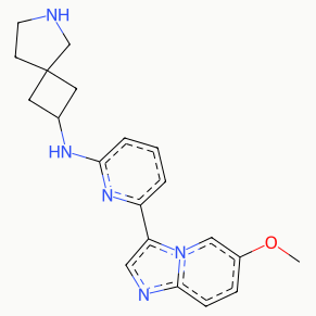 COc1ccc2ncc(-c3cccc(NC4CC5(CCNC5)C4)n3)n2c1